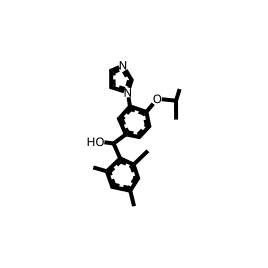 Cc1cc(C)c(C(O)c2ccc(OC(C)C)c(-n3ccnc3)c2)c(C)c1